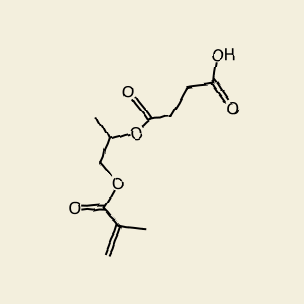 C=C(C)C(=O)OCC(C)OC(=O)CCC(=O)O